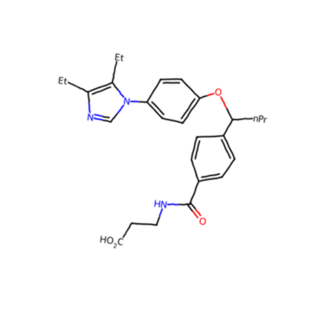 CCCC(Oc1ccc(-n2cnc(CC)c2CC)cc1)c1ccc(C(=O)NCCC(=O)O)cc1